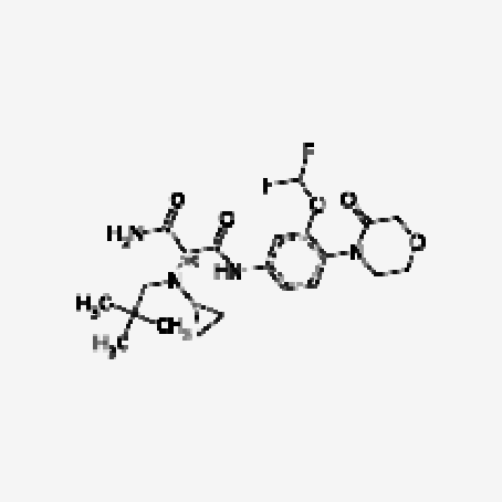 CC(C)(C)CN(C1CC1)[C@H](C(N)=O)C(=O)Nc1ccc(N2CCOCC2=O)c(OC(F)F)c1